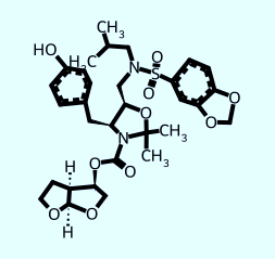 CC(C)CN(C[C@H]1OC(C)(C)N(C(=O)O[C@H]2CO[C@H]3OCC[C@H]32)[C@H]1Cc1ccc(O)cc1)S(=O)(=O)c1ccc2c(c1)OCO2